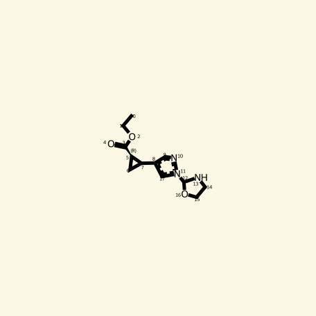 CCOC(=O)[C@@H]1CC1c1cnn(C2NCCO2)c1